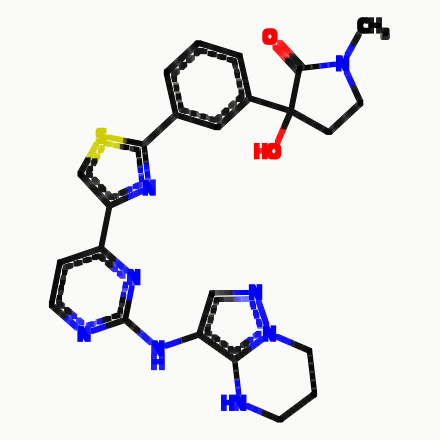 CN1CCC(O)(c2cccc(-c3nc(-c4ccnc(Nc5cnn6c5NCCC6)n4)cs3)c2)C1=O